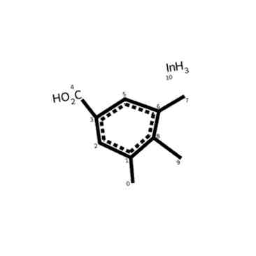 Cc1cc(C(=O)O)cc(C)c1C.[InH3]